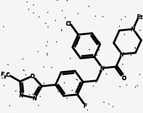 CCN1CCN(C(=O)N(Cc2ccc(-c3nnc(C(F)(F)F)o3)cc2F)c2ccc(Cl)cc2)CC1